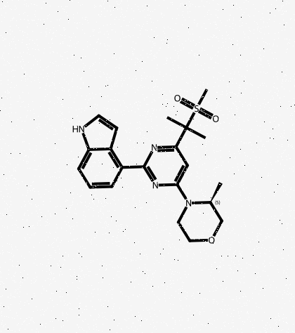 C[C@H]1COCCN1c1cc(C(C)(C)S(C)(=O)=O)nc(-c2cccc3[nH]ccc23)n1